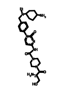 CCN(Cc1ccc(-n2ccc(NC(=O)N3CCN(C(=O)[C@@H](N)CO)CC3)nc2=O)cc1)C1CCC(N)CC1